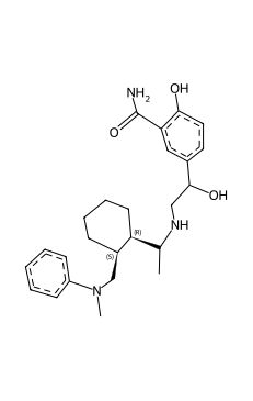 CC(NCC(O)c1ccc(O)c(C(N)=O)c1)[C@@H]1CCCC[C@@H]1CN(C)c1ccccc1